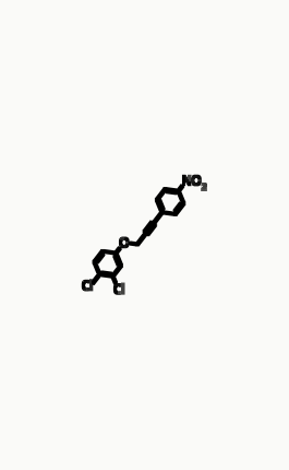 O=[N+]([O-])c1ccc(C#CCOc2ccc(Cl)c(Cl)c2)cc1